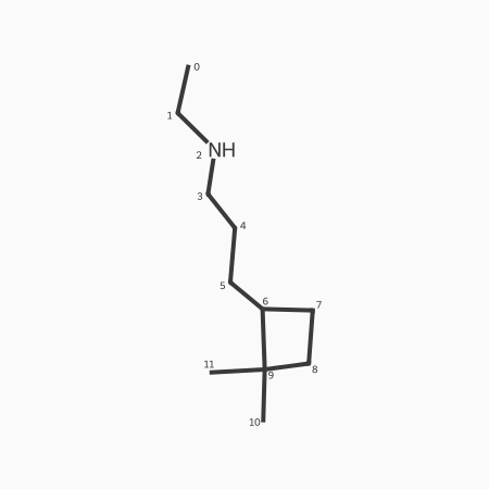 CCNCCCC1CCC1(C)C